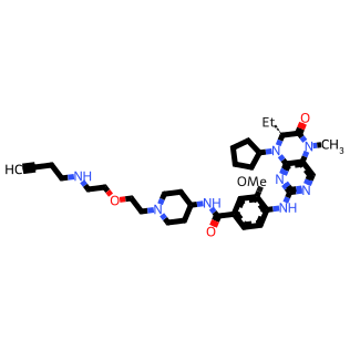 C#CCCNCCOCCN1CCC(NC(=O)c2ccc(Nc3ncc4c(n3)N(C3CCCC3)[C@H](CC)C(=O)N4C)c(OC)c2)CC1